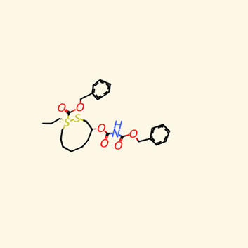 CCC[S@@]1(C(=O)OCc2ccccc2)CCCCCC[C@@H](OC(=O)NC(=O)OCc2ccccc2)CS1